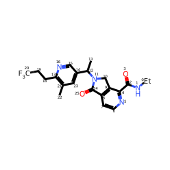 CCNC(=O)c1nccc2c1CN(C(C)c1cnc(CCC(F)(F)F)c(C)c1)C2=O